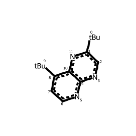 CC(C)(C)c1cnc2nccc(C(C)(C)C)c2n1